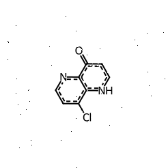 O=c1cc[nH]c2c(Cl)ccnc12